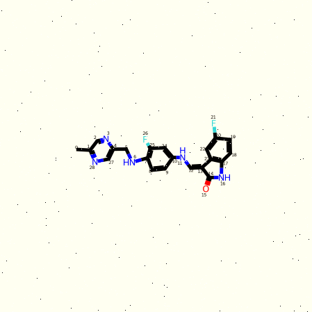 Cc1cnc(CNc2ccc(N/C=C3/C(=O)Nc4ccc(F)cc43)cc2F)cn1